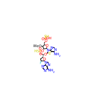 COC1[C@@H](O[P@](=O)(S)OC[C@@H]2C[C@@H](F)[C@H](n3cnc4c(N)ncnc43)O2)[C@H](n2c(=O)sc3c(N)ncnc32)O[C@@H]1CO[P@@](=O)(O)S